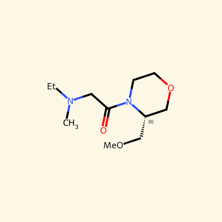 CCN(C)CC(=O)N1CCOC[C@@H]1COC